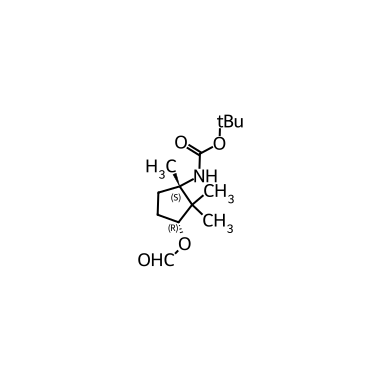 CC(C)(C)OC(=O)N[C@@]1(C)CC[C@@H](OC=O)C1(C)C